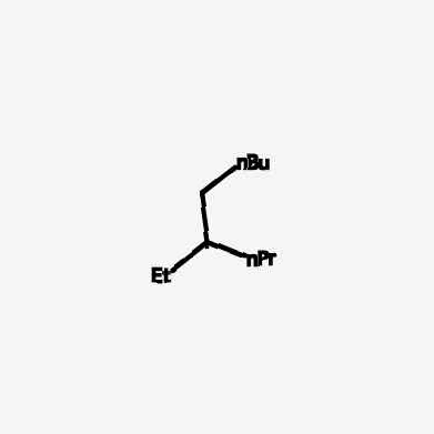 [CH2]C[C](CCC)CCCCC